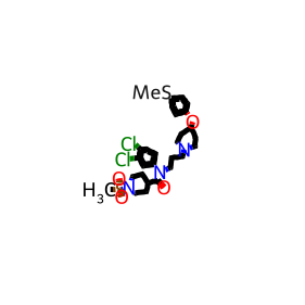 CSc1ccc(OC2CCN(CCCN(C(=O)C3CCN(S(C)(=O)=O)CC3)c3ccc(Cl)c(Cl)c3)CC2)cc1